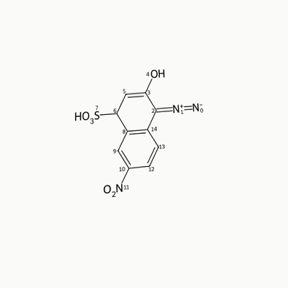 [N-]=[N+]=C1C(O)=CC(S(=O)(=O)O)c2cc([N+](=O)[O-])ccc21